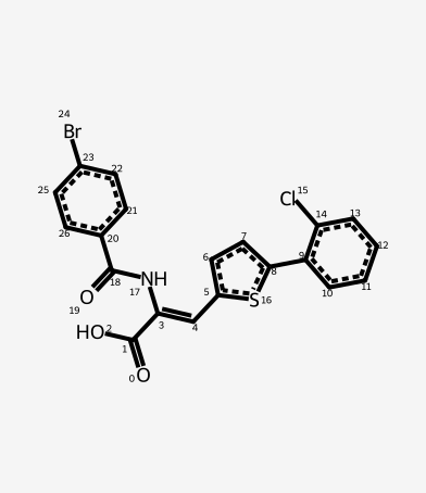 O=C(O)/C(=C/c1ccc(-c2ccccc2Cl)s1)NC(=O)c1ccc(Br)cc1